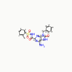 Cc1ccccc1S(=O)(=O)NC(=O)c1nc(N)c2[nH]c(=O)n(Cc3ccccc3)c2n1